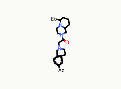 CCC1CCCC2CN(C(=O)CN3CCc4cc(C(C)=O)ccc4C3)CCN12